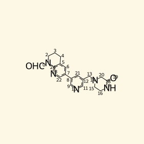 O=CN1CCCc2cc(-c3cncc(CN4CCNC(=O)C4)c3)cnc21